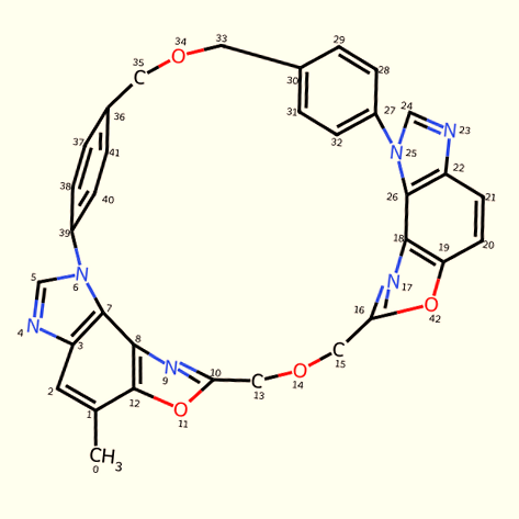 Cc1cc2ncn3c2c2nc(oc12)COCc1nc2c(ccc4ncn(c42)-c2ccc(cc2)COCc2ccc-3cc2)o1